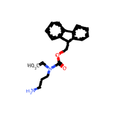 NCCCN(CC(=O)O)C(=O)OCC1c2ccccc2-c2ccccc21